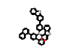 c1ccc(-c2ccc(-c3cccc4ccccc34)cc2N(c2ccc(-c3ccc4oc5ccccc5c4c3)cc2)c2cccc3oc4ccccc4c23)cc1